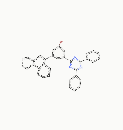 Brc1cc(-c2nc(-c3ccccc3)nc(-c3ccccc3)n2)cc(-c2cc3ccccc3c3ccccc23)c1